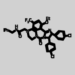 CCOc1cc(C(F)(F)F)ccc1C1=NC(c2ccc(Cl)cc2)C(c2ccc(Cl)cc2)N1C(=O)N1CCN(CC(=O)NCC(C)C)CC1